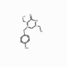 CC(C)C[C@H]1CN(Cc2ccc(O)cc2)[C@@H](CC(C)C)C(=O)N1